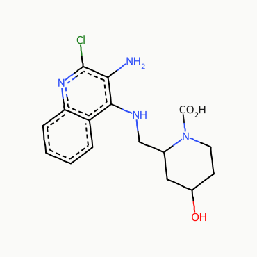 Nc1c(Cl)nc2ccccc2c1NCC1CC(O)CCN1C(=O)O